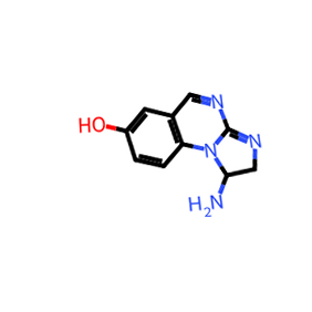 NC1CN=C2N=Cc3cc(O)ccc3N21